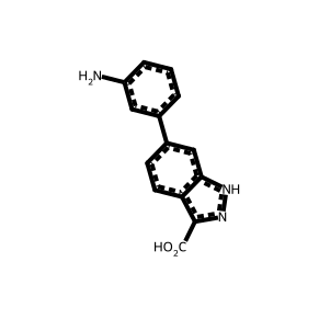 Nc1cccc(-c2ccc3c(C(=O)O)n[nH]c3c2)c1